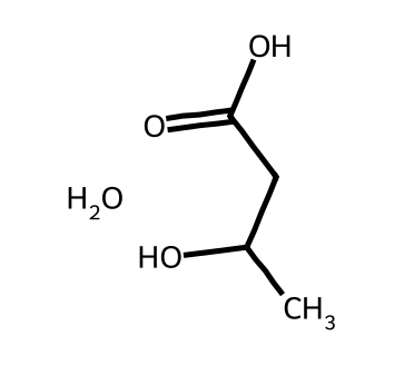 CC(O)CC(=O)O.O